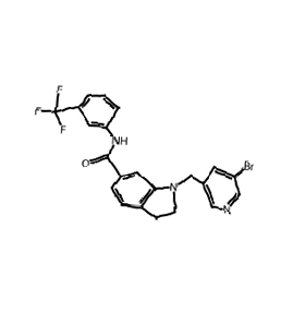 O=C(Nc1cccc(C(F)(F)F)c1)c1ccc2c(c1)N(Cc1cncc(Br)c1)CC2